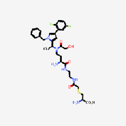 CC(C)(C)C(c1cc(-c2cc(F)ccc2F)cn1Cc1ccccc1)N(CCC(N)C(=O)NCCNC(=O)CSCC(N)C(=O)O)C(=O)CO